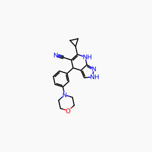 N#CC1=C(C2CC2)Nc2n[nH]cc2C1c1cccc(N2CCOCC2)c1